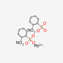 O=[N+]([O-])c1ccccc1S(=O)(=O)[O-].O=[N+]([O-])c1ccccc1S(=O)(=O)[O-].[Pb+2]